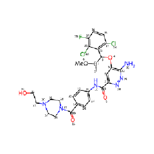 COB(C)C(Oc1cc(C(=O)Nc2ccc(C(=O)N3CCN(CCO)CC3)cc2)nnc1N)c1c(Cl)ccc(F)c1Cl